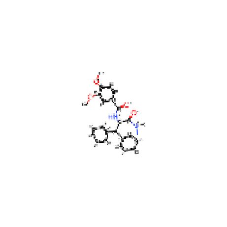 CNC(=O)C(NC(=O)c1ccc(OC)c(OC)c1)C(c1ccccc1)c1ccccc1